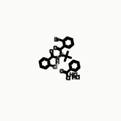 CC(C)(C)N(NC(=O)c1ccccc1Cl)C(=O)c1ccccc1Br.Cl.Cl.O=C(Cl)c1ccccc1